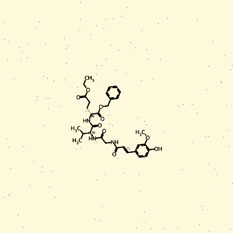 CCOC(=O)CC[C@@H](NC(=O)[C@@H](NC(=O)CNC(=O)/C=C/c1ccc(O)c(OC)c1)C(C)C)C(=O)OCc1ccccc1